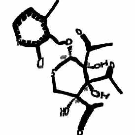 CC(=O)[C@]1(O)[C@@](O)(C(C)=O)CS[C@H](Oc2c(C)ccnc2Cl)[C@@]1(O)C(C)=O